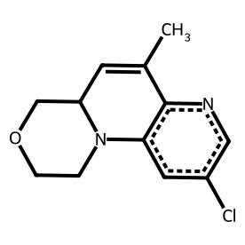 CC1=CC2COCCN2c2cc(Cl)cnc21